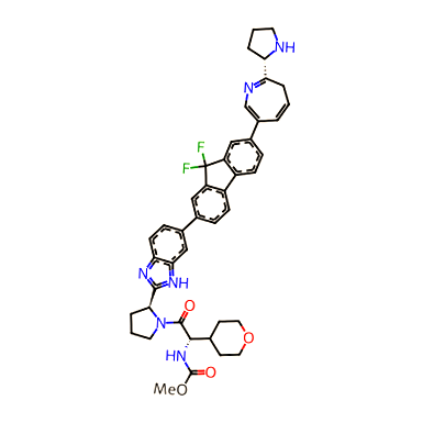 COC(=O)N[C@H](C(=O)N1CCC[C@H]1c1nc2ccc(-c3ccc4c(c3)C(F)(F)c3cc(C5=CN=C([C@@H]6CCCN6)CC=C5)ccc3-4)cc2[nH]1)C1CCOCC1